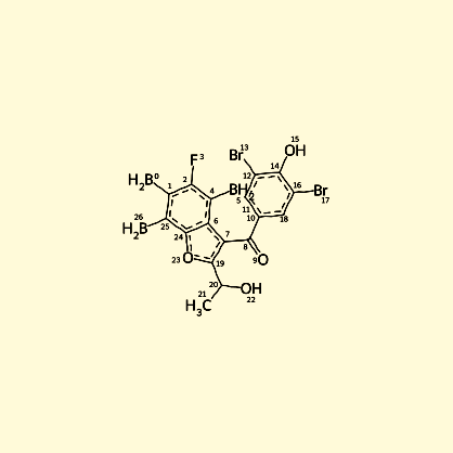 Bc1c(F)c(B)c2c(C(=O)c3cc(Br)c(O)c(Br)c3)c(C(C)O)oc2c1B